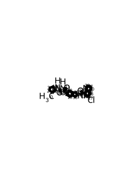 CC1CCCN(NC(=O)NS(=O)(=O)c2ccc3c(c2)CC(NC(=O)c2cc(Cl)cc4cccnc24)C3)C1